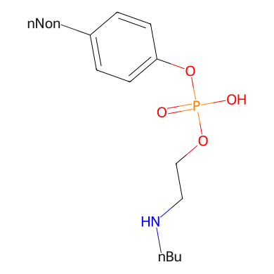 CCCCCCCCCc1ccc(OP(=O)(O)OCCNCCCC)cc1